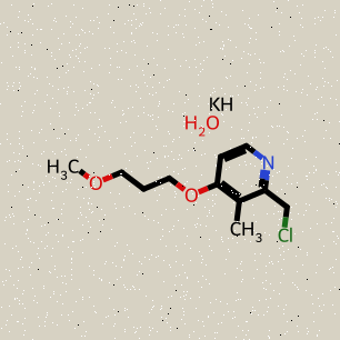 COCCCOc1ccnc(CCl)c1C.O.[KH]